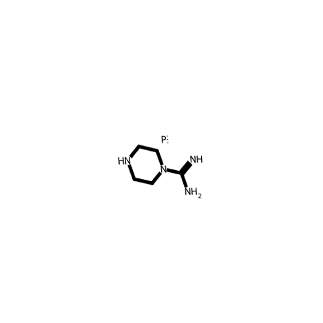 N=C(N)N1CCNCC1.[P]